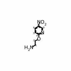 NCCOc1ccc([N+](=O)[O-])cn1